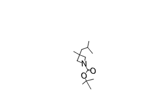 CC(C)CC1(C)CN(C(=O)OC(C)(C)C)C1